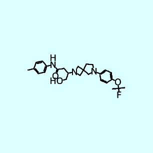 Cc1ccc(NC(=O)CC(CO)N2CC3(CCN(c4ccc(OC(C)(C)F)cc4)C3)C2)cc1